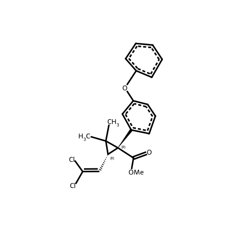 COC(=O)[C@]1(c2cccc(Oc3ccccc3)c2)[C@H](C=C(Cl)Cl)C1(C)C